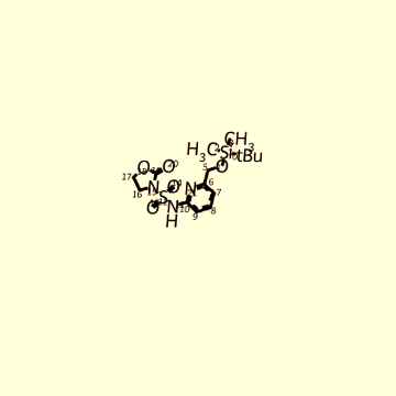 CC(C)(C)[Si](C)(C)OCc1cccc(NS(=O)(=O)N2CCOC2=O)n1